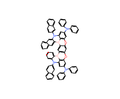 c1ccc(N(c2ccccc2)c2cc3c4c(c2)N(c2ccc5ccccc5c2)c2cc5ccccc5cc2B4c2cc4c(cc2O3)Oc2cc(N(c3ccccc3)c3ccccc3)cc3c2B4c2cc4ccccc4cc2N3c2ccc3ccccc3c2)cc1